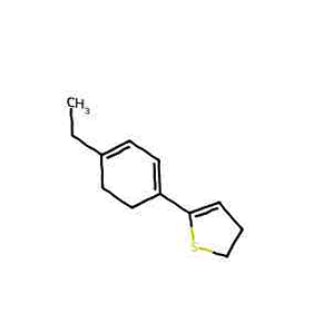 CCC1=CC=C(C2=CCCS2)CC1